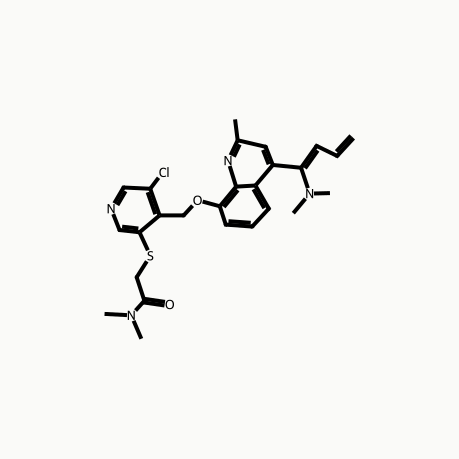 C=C/C=C(/c1cc(C)nc2c(OCc3c(Cl)cncc3SCC(=O)N(C)C)cccc12)N(C)C